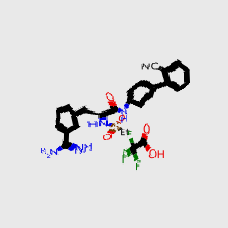 CCS(=O)(=O)N[C@@H](Cc1cccc(C(=N)N)c1)C(=O)Nc1ccc(-c2ccccc2C#N)cc1.O=C(O)C(F)(F)F